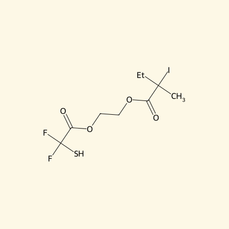 CCC(C)(I)C(=O)OCCOC(=O)C(F)(F)S